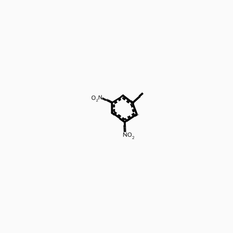 Cc1[c]c([N+](=O)[O-])cc([N+](=O)[O-])c1